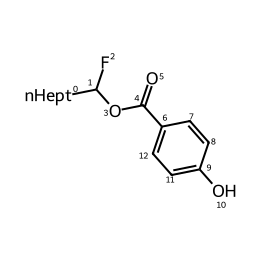 CCCCCCCC(F)OC(=O)c1ccc(O)cc1